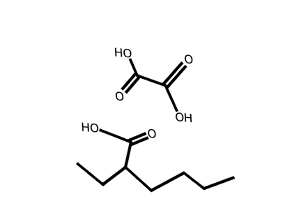 CCCCC(CC)C(=O)O.O=C(O)C(=O)O